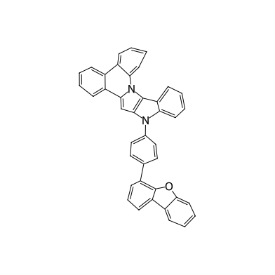 c1ccc2c(c1)oc1c(-c3ccc(-n4c5ccccc5c5c4cc4c6ccccc6c6ccccc6n45)cc3)cccc12